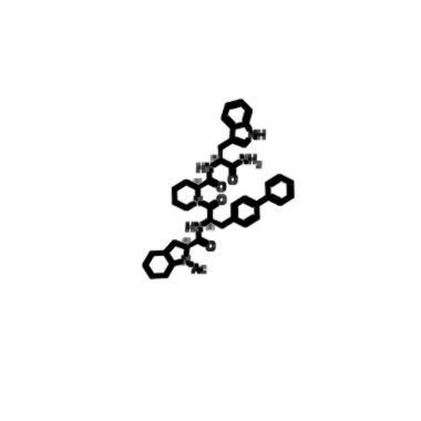 CC(=O)N1C2CCCCC2C[C@H]1C(=O)N[C@H](Cc1ccc(-c2ccccc2)cc1)C(=O)N1CCCC[C@H]1C(=O)N[C@@H](Cc1c[nH]c2ccccc12)C(N)=O